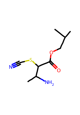 CC(C)COC(=O)C(SC#N)C(C)N